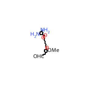 COc1cc(C=CC=O)ccc1OCCCCCCOC(=O)c1cc(N)cc(N)c1